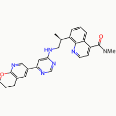 CNC(=O)c1ccnc2c([C@H](C)CNc3cc(-c4cnc5c(c4)CCCO5)ncn3)cccc12